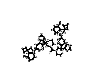 O=C(N1CCOC(c2ccc(NCC3(c4ncccc4F)CCC3)nn2)(c2cncs2)C1)N1CCOC(c2ccc(NCC3(c4ncccc4F)CCC3)nn2)(c2cncs2)C1